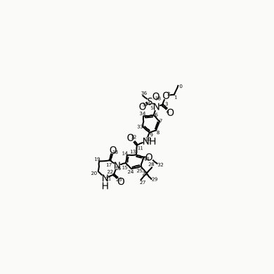 CCOC(=O)N(c1ccc(NC(=O)c2cc(N3C(=O)CCNC3=O)cc(C(C)(C)C)c2OC)cc1)S(C)(=O)=O